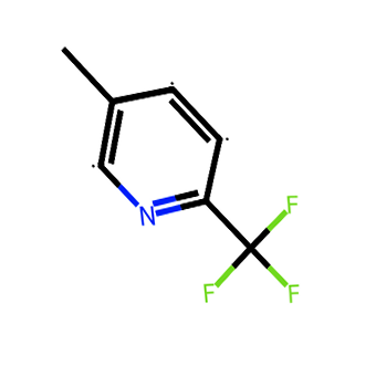 Cc1[c][c]c(C(F)(F)F)n[c]1